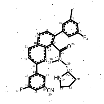 Cc1cc(F)cc(-c2cnc3ccc(-c4cc(F)cc(C#N)c4)nc3c2C(=O)N(C)C[C@@H]2CCCN2)c1